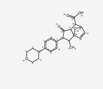 CC1N(c2ccc(N3CCOCC3)cc2)C(=O)C2C(C(=O)O)C3C=CC21O3